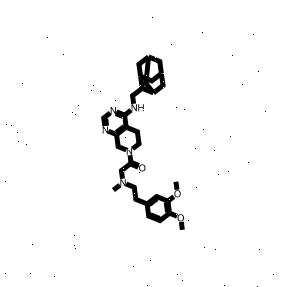 COc1ccc(CCN(C)CC(=O)N2CCc3c(ncnc3NCC3C4CC5CC(C4)CC3C5)C2)cc1OC